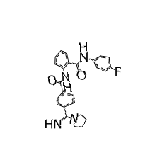 N=C(c1ccc(C(=O)Nc2ccccc2C(=O)Nc2ccc(F)cc2)cc1)N1CCCC1